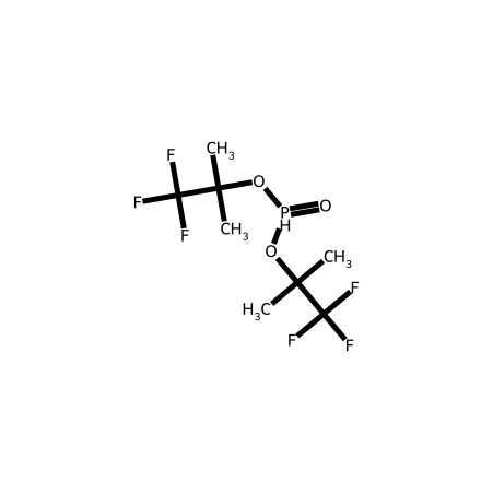 CC(C)(O[PH](=O)OC(C)(C)C(F)(F)F)C(F)(F)F